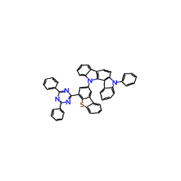 c1ccc(-c2nc(-c3ccccc3)nc(-c3cc(-n4c5ccccc5c5ccc6c(c7ccccc7n6-c6ccccc6)c54)cc4c3sc3ccccc34)n2)cc1